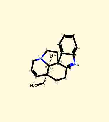 CC[C@@]12C=CCN3CC[C@@]4(C(=Nc5ccccc54)CC1)[C@H]32